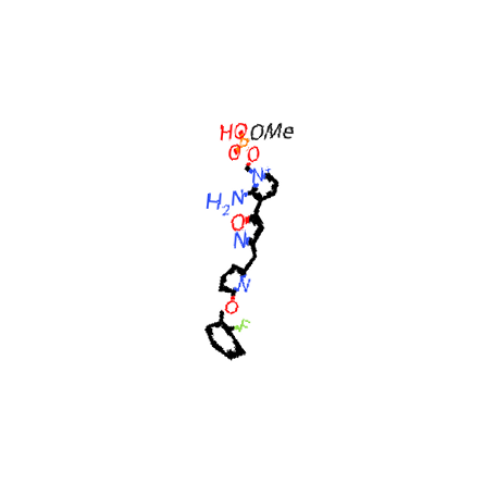 COP(=O)(O)OC[n+]1cccc(-c2cc(Cc3cccc(OCc4ccccc4F)n3)no2)c1N